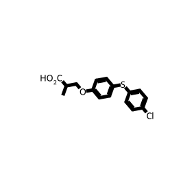 CC(COc1ccc(Sc2ccc(Cl)cc2)cc1)C(=O)O